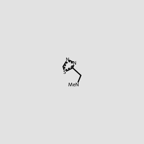 CNCc1nncs1